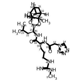 CNC(=N)NCCC[C@H](NC(=O)Cn1cnnn1)C(=O)N[C@@H](CC(C)C)B1O[C@@H]2C[C@@H]3C[C@@H](C3(C)C)[C@]2(C)O1